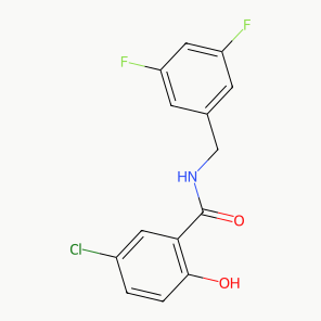 O=C(NCc1cc(F)cc(F)c1)c1cc(Cl)ccc1O